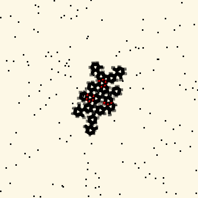 Cc1cccc(C)c1-c1ccc(N2c3ccc(-c4c(C)cccc4C)cc3B3c4cc5c(cc4N(c4ccccc4)c4cc(-c6c(C)cccc6C)cc2c43)N(c2c(-c3ccccc3)cccc2-c2ccccc2)c2cc(-n3c4ccc(-c6c(C)cccc6C)cc4c4cc(-c6c(C)cccc6C)ccc43)cc3c2B5c2ccccc2N3c2ccccc2)cc1